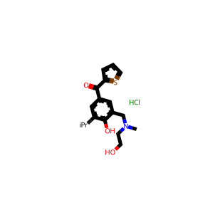 CC(C)c1cc(C(=O)c2cccs2)cc(CN(C)CCO)c1O.Cl